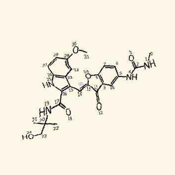 CNC(=O)Nc1ccc2c(c1)C(=O)/C(=C/c1c(C(=O)NC(C)(C)CO)[nH]c3ccc(OC)cc13)O2